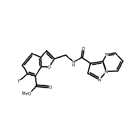 COC(=O)c1c(F)ccc2cc(CNC(=O)c3cnn4cccnc34)oc12